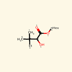 CCCCCCOC(=O)C(O)C(C)(C)CC